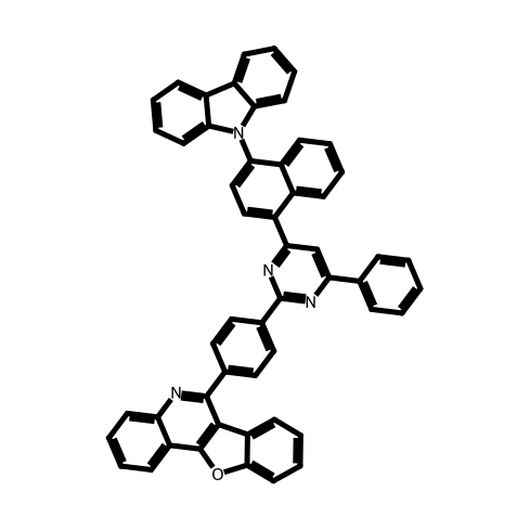 c1ccc(-c2cc(-c3ccc(-n4c5ccccc5c5ccccc54)c4ccccc34)nc(-c3ccc(-c4nc5ccccc5c5oc6ccccc6c45)cc3)n2)cc1